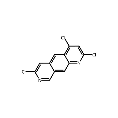 Clc1cc2cc3c(Cl)cc(Cl)nc3cc2cn1